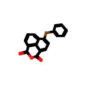 O=C1OC(=O)c2ccc(Sc3ccccc3)c3cccc1c23